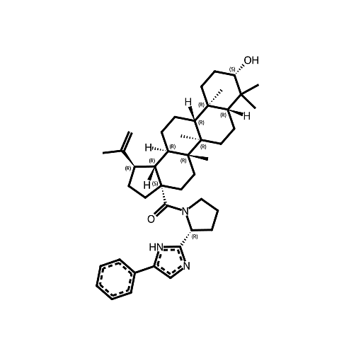 C=C(C)[C@@H]1CC[C@]2(C(=O)N3CCC[C@@H]3c3ncc(-c4ccccc4)[nH]3)CC[C@]3(C)[C@H](CC[C@@H]4[C@@]5(C)CC[C@H](O)C(C)(C)[C@@H]5CC[C@]43C)[C@@H]12